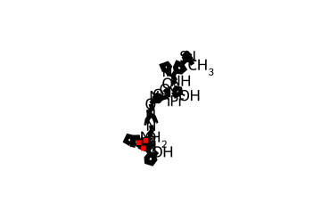 Cc1ncsc1-c1ccc([C@H](CN2CCCC2)NC(=O)[C@@H]2C[C@@H](O)CN2C(=O)[C@@H](c2cc(OCCN3CCN(CCOc4cc(N5C6CCC5CN(c5cc(-c7ccccc7O)nnc5N)C6)ccn4)CC3)no2)C(C)C)cc1